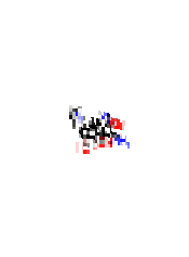 CC1C=CC(C)N1Cc1ccc(O)c2c1C[C@H]1CC3C(C(=O)C(C(N)=O)=C(O)[C@H]3N(C)C)C(O)=C1C2=O